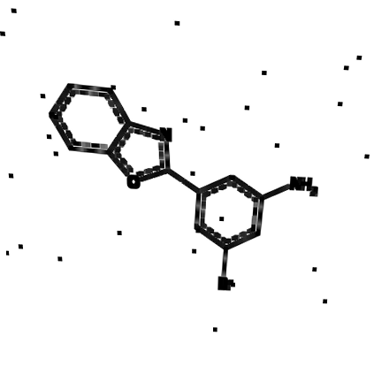 Nc1cc(Br)cc(-c2nc3ccccc3o2)c1